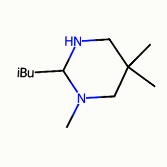 CCC(C)C1NCC(C)(C)CN1C